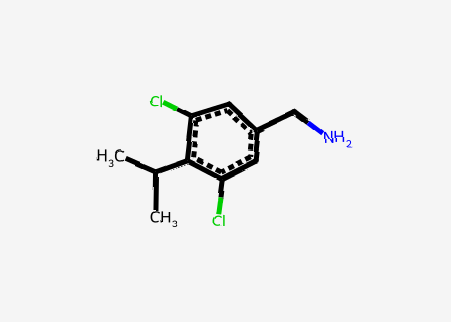 CC(C)c1c(Cl)cc(CN)cc1Cl